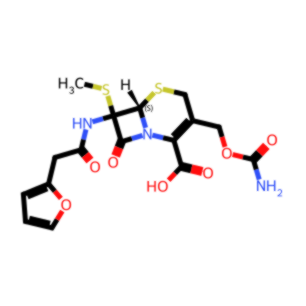 CSC1(NC(=O)Cc2ccco2)C(=O)N2C(C(=O)O)=C(COC(N)=O)CS[C@H]21